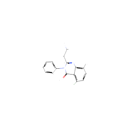 Cc1ccc(Cl)c2c(=O)n(-c3ccccc3)c(CCN)nc12